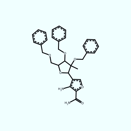 CC1(OCc2ccccc2)C(c2coc(C(N)=O)c2N)OC(COCc2ccccc2)C1OCc1ccccc1